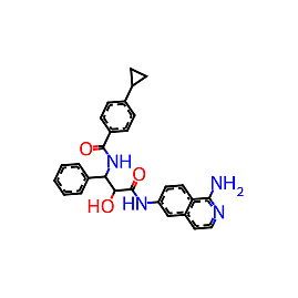 Nc1nccc2cc(NC(=O)C(O)C(NC(=O)c3ccc(C4CC4)cc3)c3ccccc3)ccc12